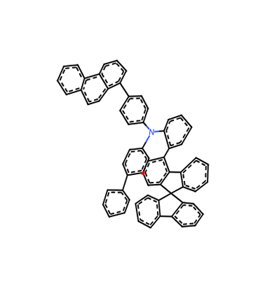 c1ccc(-c2ccc(N(c3ccc(-c4cccc5c4ccc4ccccc45)cc3)c3ccccc3-c3cccc4c3-c3ccccc3C43c4ccccc4-c4ccccc43)cc2)cc1